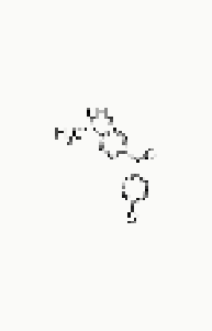 CC(C)c1ccc(C(=O)c2ccc([S])cc2)cc1